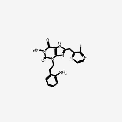 CCCCn1c(=O)c2[nH]c(Cc3nccnc3F)nc2n(CCc2ccccc2N)c1=O